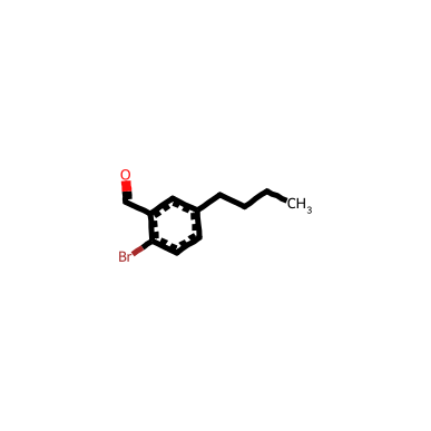 CCCCc1ccc(Br)c(C=O)c1